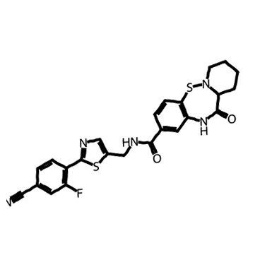 N#Cc1ccc(-c2ncc(CNC(=O)c3ccc4c(c3)NC(=O)C3CCCCN3S4)s2)c(F)c1